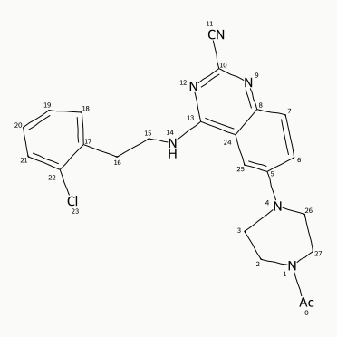 CC(=O)N1CCN(c2ccc3nc(C#N)nc(NCCc4ccccc4Cl)c3c2)CC1